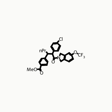 CCCC(c1ccc(C(=O)OC)cc1)C(C(=O)N1Cc2ccc(OC(F)(F)F)cc2C1)c1ccc(Cl)cc1